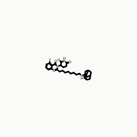 O=C1CCC(n2c(CCCCCCCCNC34CC5CC(CC(C5)C3)C4)nc3cccc(F)c3c2=O)C(=O)N1